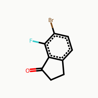 O=C1CCc2ccc(Br)c(F)c21